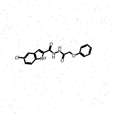 O=C(COc1ccccc1)NNC(=O)c1cc2cc(Cl)ccc2[nH]1